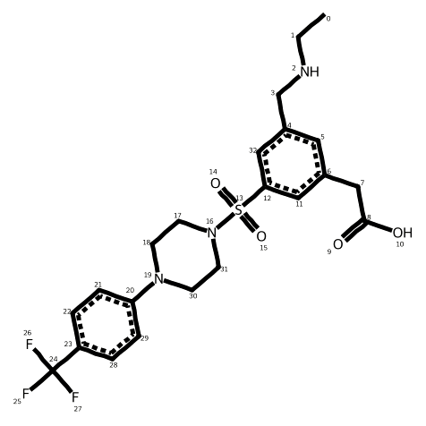 CCNCc1cc(CC(=O)O)cc(S(=O)(=O)N2CCN(c3ccc(C(F)(F)F)cc3)CC2)c1